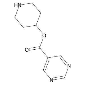 O=C(OC1CCNCC1)c1cncnc1